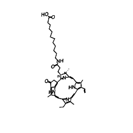 C=Cc1c(C)c2cc3nc(c4c5[nH]c(cc6nc(cc1[nH]2)C(C)=C6CC)c(C)c5C(=O)C4)[C@@H](CCC(=O)NCCCCCCCCCCCC(=O)O)[C@@H]3C